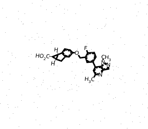 Cc1cc(-c2ccc(F)c(COc3ccc4c(c3)C[C@H]3[C@H](C(=O)O)[C@@H]43)c2)c2c(cnn2C)n1